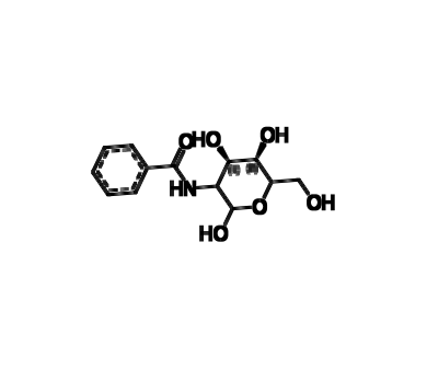 O=C(NC1C(O)OC(CO)[C@H](O)[C@@H]1O)c1ccccc1